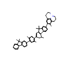 Cc1cc(-c2ccc3c(c2)C(C)(C)c2ccccc2-3)c(C)cc1C1=CC2=C(c3ccc(-c4cc5c6c(c4C)CCCN6CCC5)cc3C2(C)C)C(C)C1